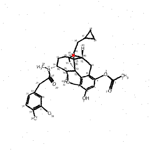 CC(=O)Oc1cc(O)c2c3c1C[C@@H]1[C@@H]4CC[C@@H](N(C)C(=O)Cc5ccc(Cl)c(Cl)c5)[C@H](O2)[C@]34CCN1CC1CC1